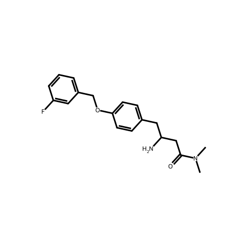 CN(C)C(=O)CC(N)Cc1ccc(OCc2cccc(F)c2)cc1